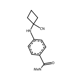 CNC(=O)c1ccc(NC2(C#N)CCC2)cc1